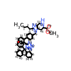 CCCCc1nc2c(n1Cc1ccc(-c3ccccc3-c3nnnn3C(c3ccccc3)(c3ccccc3)c3ccccc3)cc1)CC(C(=O)OC)NC2